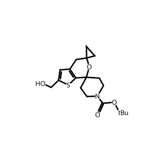 CC(C)(C)OC(=O)N1CCC2(CC1)OC1(CC1)Cc1cc(CO)sc12